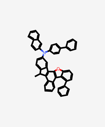 CC1c2ccc(N(c3ccc(-c4ccccc4)cc3)c3ccc4ccccc4c3)cc2-c2c1c1ccccc1c1c2oc2cccc(-c3ccccc3)c21